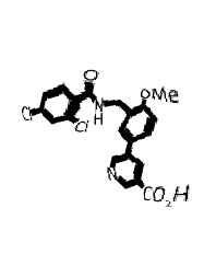 COc1ccc(-c2cncc(C(=O)O)c2)cc1CNC(=O)c1ccc(Cl)cc1Cl